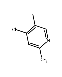 Cc1cnc(C(F)(F)F)cc1Cl